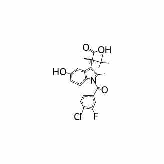 Cc1c([C@](C)(C(=O)O)C(C)(C)C)c2cc(O)ccc2n1C(=O)c1ccc(Cl)c(F)c1